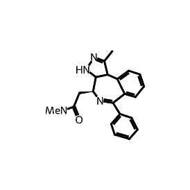 CNC(=O)C[C@@H]1N=C(c2ccccc2)c2ccccc2C2C(C)=NNC21